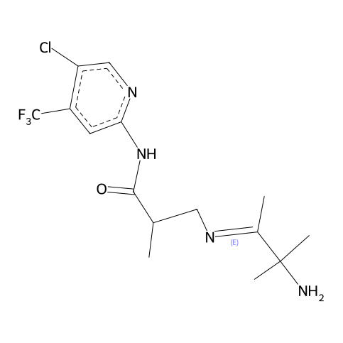 C/C(=N\CC(C)C(=O)Nc1cc(C(F)(F)F)c(Cl)cn1)C(C)(C)N